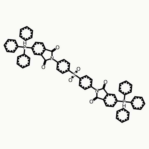 O=C1c2ccc([PH](c3ccccc3)(c3ccccc3)c3ccccc3)cc2C(=O)N1c1ccc(S(=O)(=O)c2ccc(N3C(=O)c4ccc([PH](c5ccccc5)(c5ccccc5)c5ccccc5)cc4C3=O)cc2)cc1